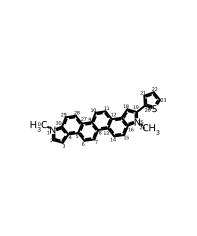 Cn1ccc2c3ccc4c(ccc5c4ccc4c5cc(-c5cccs5)n4C)c3ccc21